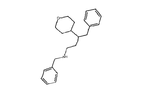 c1ccc(CNCCC(Cc2ccccc2)C2CCOCC2)cc1